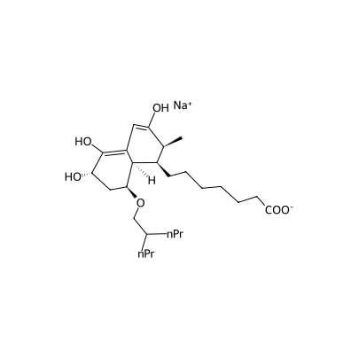 CCCC(CCC)CO[C@H]1C[C@H](O)C(O)=C2C=C(O)[C@@H](C)[C@@H](CCCCCCC(=O)[O-])[C@H]21.[Na+]